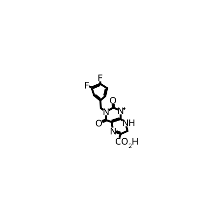 Cn1c2c(c(=O)n(Cc3ccc(F)c(F)c3)c1=O)N=C(C(=O)O)CN2